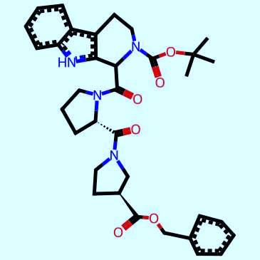 CC(C)(C)OC(=O)N1CCc2c([nH]c3ccccc23)C1C(=O)N1CCC[C@H]1C(=O)N1CC[C@H](C(=O)OCc2ccccc2)C1